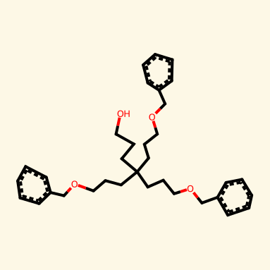 OCCCC(CCCOCc1ccccc1)(CCCOCc1ccccc1)CCCOCc1ccccc1